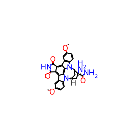 COc1ccc2c(c1)c1c3c(c4c5cc(OC)ccc5n5c4c1n2C1C[C@H]5C[C@@]1(N)C(N)=O)C(=O)NC3=O